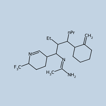 C=C1CCCCC1C(CCC)C(CC)C(/N=C(\C)N)C1C=NC(C(F)(F)F)CC1